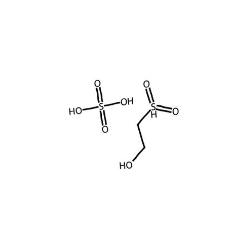 O=S(=O)(O)O.O=[SH](=O)CCO